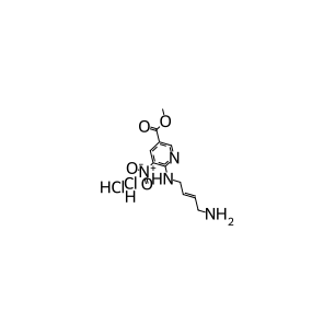 COC(=O)c1cnc(NC/C=C/CN)c([N+](=O)[O-])c1.Cl.Cl